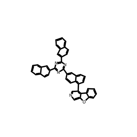 c1ccc2cc(-c3nc(-c4ccc5ccccc5c4)nc(-c4ccc5c(-c6cncc7oc8ccccc8c67)cccc5c4)n3)ccc2c1